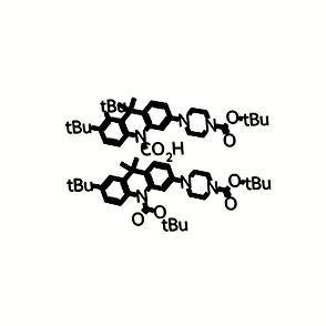 CC(C)(C)OC(=O)N1CCN(c2ccc3c(c2)N(C(=O)O)c2ccc(C(C)(C)C)c(C(C)(C)C)c2C3(C)C)CC1.CC(C)(C)OC(=O)N1CCN(c2ccc3c(c2)N(C(=O)OC(C)(C)C)c2ccc(C(C)(C)C)cc2C3(C)C)CC1